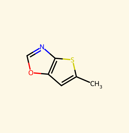 Cc1cc2ocnc2s1